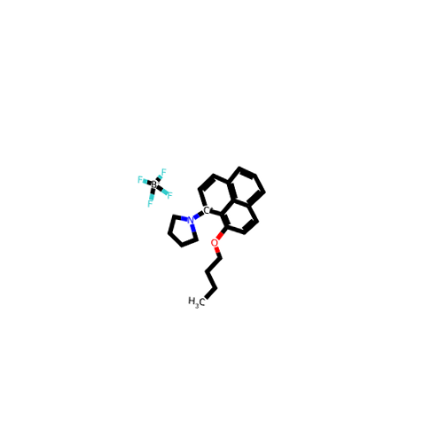 CCCCOc1ccc2cccc3c2c1[C+](N1CCCC1)C=C3.F[B-](F)(F)F